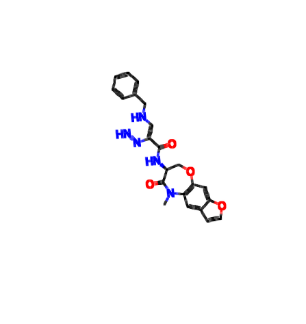 CN1C(=O)[C@@H](NC(=O)/C(=C/NCc2ccccc2)N=N)COc2cc3occc3cc21